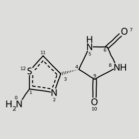 Nc1nc([C@@H]2NC(=O)NC2=O)cs1